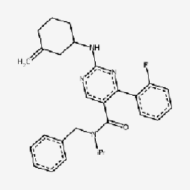 C=C1CCCC(Nc2ncc(C(=O)N(Cc3ccccc3)C(C)C)c(-c3ccccc3F)n2)C1